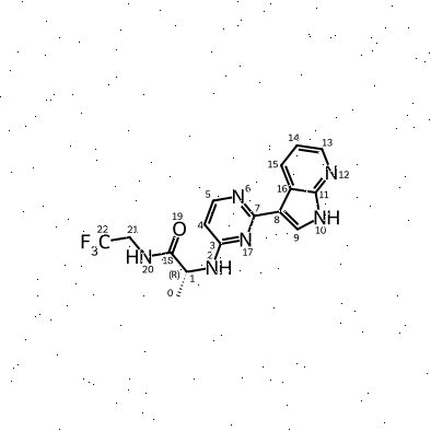 C[C@@H](Nc1ccnc(-c2c[nH]c3ncccc23)n1)C(=O)NCC(F)(F)F